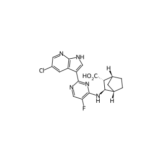 O=C(O)[C@@H]1[C@@H]2CC[C@@H](C2)[C@H]1Nc1nc(-c2c[nH]c3ncc(Cl)cc23)ncc1F